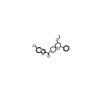 CCOC1CC(c2ccccc2)OC2(CCN(C(=O)c3cn4cc(Cl)ccc4n3)CC2)C1